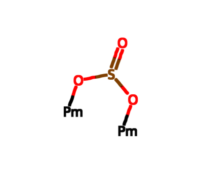 O=S([O][Pm])[O][Pm]